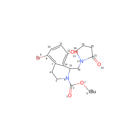 CC(C)(C)OC(=O)N1CCc2c(Br)ccc(O)c2C1CN1CCCC1=O